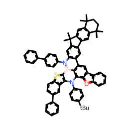 CC(C)(C)c1ccc(N2c3c(sc4ccc(-c5ccccc5)cc34)B3c4c(cc5c(oc6ccccc65)c42)-c2cc4c(cc2N3c2ccc(-c3ccccc3)cc2)C(C)(C)c2cc3c(cc2-4)C(C)(C)CCC3(C)C)cc1